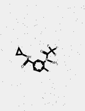 Cc1ccc(C(=O)NC2CC2)cc1N(N)C(=O)C(F)(F)F